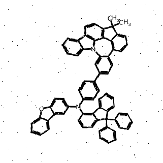 CC1(C)c2cccc3c2-c2c1ccc1c4ccccc4n(c21)-c1cc(-c2ccc(N(c4ccc5oc6ccccc6c5c4)c4cccc5c4-c4ccccc4C5(c4ccccc4)c4ccccc4)cc2)ccc1-3